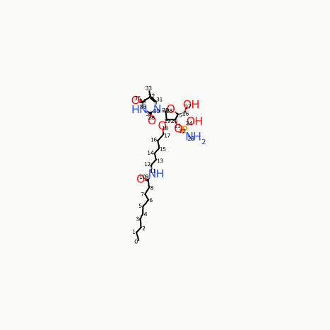 CCCCCCCCCC(=O)NCCCCCCO[C@@H]1[C@H](OP(N)O)[C@@H](CO)O[C@H]1n1cc(C)c(=O)[nH]c1=O